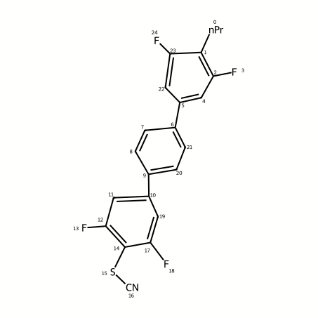 CCCc1c(F)cc(-c2ccc(-c3cc(F)c(SC#N)c(F)c3)cc2)cc1F